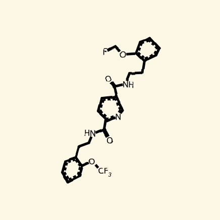 O=C(NCCc1ccccc1OCF)c1ccc(C(=O)NCCc2ccccc2OC(F)(F)F)nc1